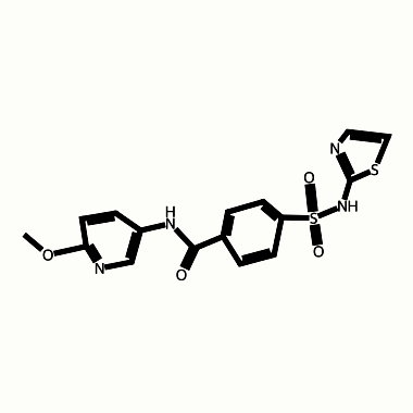 COc1ccc(NC(=O)c2ccc(S(=O)(=O)Nc3nccs3)cc2)cn1